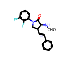 O=CNC1C(=O)N(c2cccc(F)c2F)CC1/C=C/c1ccccc1